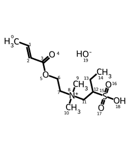 CC=CC(=O)OCC[N+](C)(C)CC(CC)S(=O)(=O)O.[OH-]